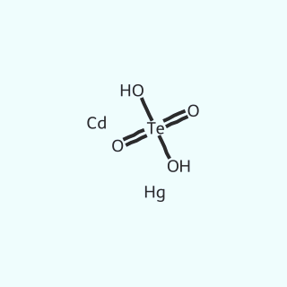 O=[Te](=O)(O)O.[Cd].[Hg]